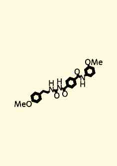 COc1ccc(CCNC(=O)NC(=O)c2ccc(C(=O)Nc3cccc(OC)c3)cc2)cc1